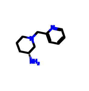 N[C@@H]1CCCN(Cc2ccccn2)C1